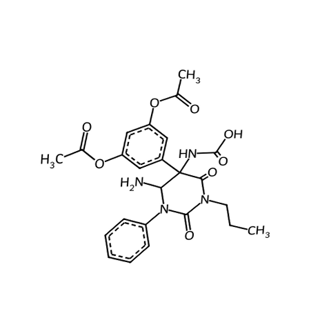 CCCN1C(=O)N(c2ccccc2)C(N)C(NC(=O)O)(c2cc(OC(C)=O)cc(OC(C)=O)c2)C1=O